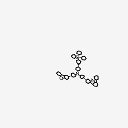 c1ccc([Si](c2ccccc2)(c2ccccc2)c2ccc(-c3ccc(N(c4ccc(-c5ccc6oc7ccccc7c6c5)cc4)c4ccc(-c5ccc6c7cccc8c9ccccc9n(c6c5)c87)cc4)cc3)cc2)cc1